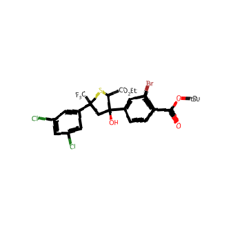 CCOC(=O)C1SC(c2cc(Cl)cc(Cl)c2)(C(F)(F)F)CC1(O)c1ccc(C(=O)OC(C)(C)C)c(Br)c1